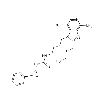 CCOCc1nc2c(N)ncc(C)c2n1CCCCNC(=O)N[C@@H]1C[C@H]1c1ccccc1